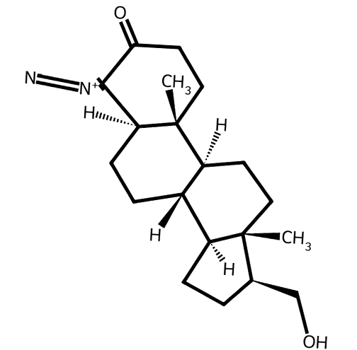 C[C@]12CCC(=O)C(=[N+]=[N-])[C@@H]1CC[C@@H]1[C@@H]2CC[C@]2(C)[C@@H](CO)CC[C@@H]12